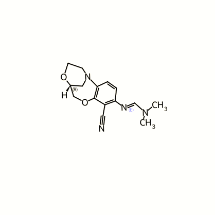 CN(C)/C=N/c1ccc2c(c1C#N)OC[C@H]1CN2CCO1